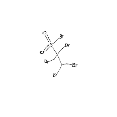 O=S(=O)(Br)C(Br)(Br)C(Br)Br